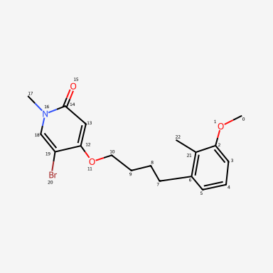 COc1cccc(CCCCOc2cc(=O)n(C)cc2Br)c1C